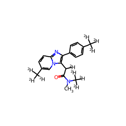 [2H]C(C(=O)N(C)C([2H])([2H])[2H])c1c(-c2ccc(C([2H])([2H])[2H])cc2)nc2ccc(C([2H])([2H])[2H])cn12